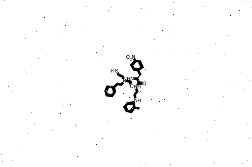 Cc1ccccc1NCCNC(=O)[C@H](Cc1ccc([N+](=O)[O-])cc1)NC(=O)N(CCO)CCc1ccccc1